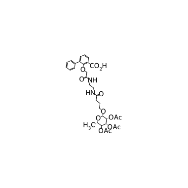 CC(=O)O[C@@H]1[C@@H](OC(C)=O)[C@H](C)O[C@@H](OCCCC(=O)NCCNC(=O)COc2c(C(=O)O)cccc2-c2ccccc2)[C@@H]1OC(C)=O